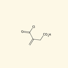 C=C(CC(=O)O)C(=O)Cl